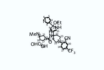 CCOC1(c2cccnc2)C=CC(C2(NC(=O)N3CC[C@@H](NC)C3)CCN(c3ccc(C(F)(F)F)cc3C#N)CC2)=CN1.O=CO